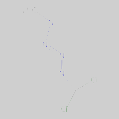 C[N]N=N[N]C(Cl)Cl